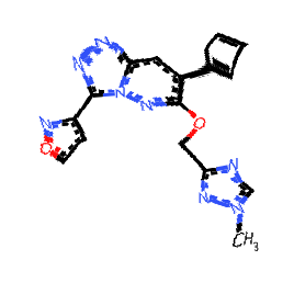 Cn1cnc(COc2nn3c(-c4ccon4)nnc3cc2C2=CC=C2)n1